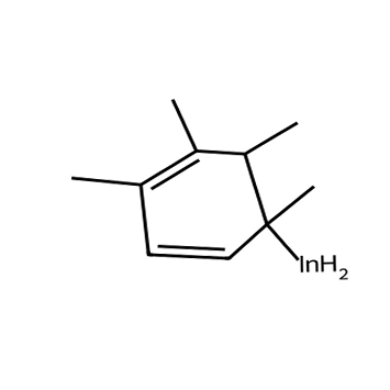 CC1=C(C)C(C)[C](C)([InH2])C=C1